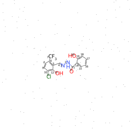 O=C(N/N=C/c1c(C(F)(F)F)ccc(Cl)c1O)c1ccccc1O